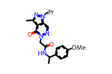 COc1ccc(C(C)NC(=O)Cn2ncc3c(c(C)nn3C(C)C)c2=O)cc1